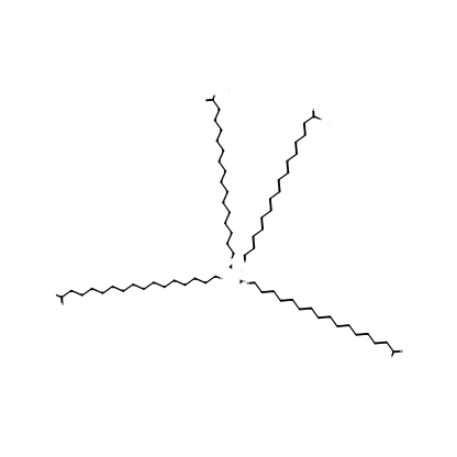 CC(C)CCCCCCCCCCCCCCC[O][Ti]([O]CCCCCCCCCCCCCCCC(C)C)([O]CCCCCCCCCCCCCCCC(C)C)[O]CCCCCCCCCCCCCCCC(C)C